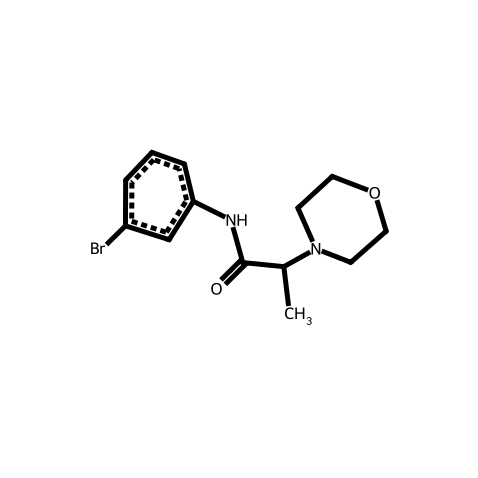 CC(C(=O)Nc1cccc(Br)c1)N1CCOCC1